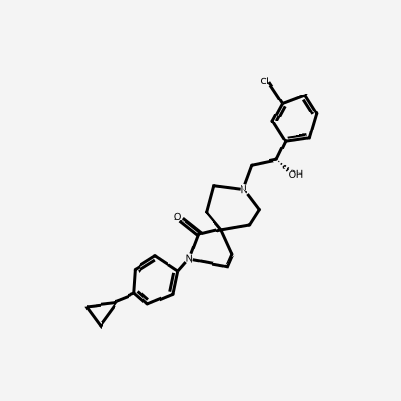 O=C1N(c2ccc(C3CC3)cc2)CCC12CCN(C[C@@H](O)c1cccc(Cl)c1)CC2